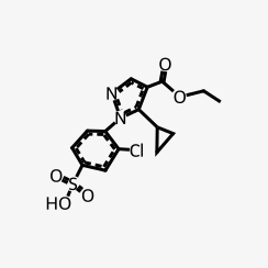 CCOC(=O)c1cnn(-c2ccc(S(=O)(=O)O)cc2Cl)c1C1CC1